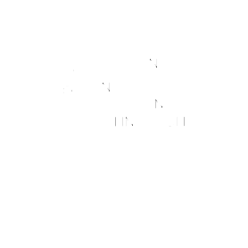 CC(=O)/C(C)=N/c1c(C)ncnc1Nc1ccc(F)cc1O